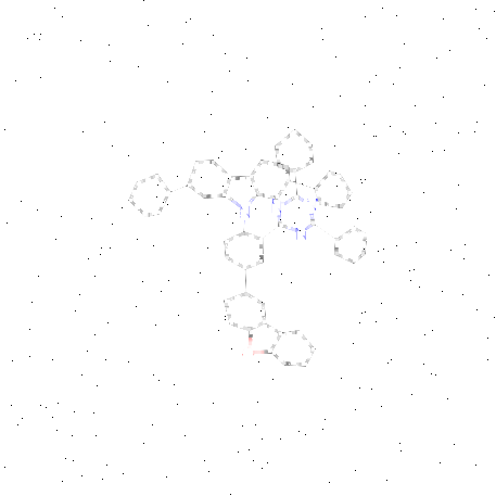 c1ccc(-c2ccc3c4ccc(-c5ccccc5)cc4n(-c4ccc(-c5ccc6oc7ccccc7c6c5)cc4-c4nc(-c5ccccc5)nc(-c5ccccc5)n4)c3c2)cc1